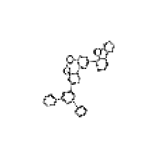 c1ccc(-c2cc(-c3ccccc3)cc(-c3ccc4c(c3)OCOc3ccc(-c5cccc6c5oc5ccccc56)cc3-4)c2)cc1